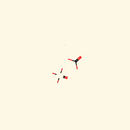 O=C([O-])[O-].O=[As]([O-])([O-])O.[Ca+2].[Ca+2]